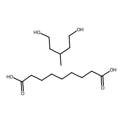 CC(CCO)CCO.O=C(O)CCCCCCCC(=O)O